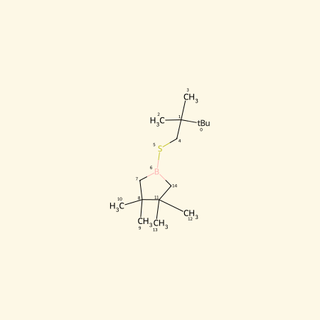 CC(C)(C)C(C)(C)CSB1CC(C)(C)C(C)(C)C1